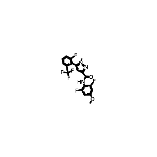 COc1cc(F)c(NC(=O)c2cc(-c3c(F)cccc3C(F)(F)F)n(C)n2)c(F)c1